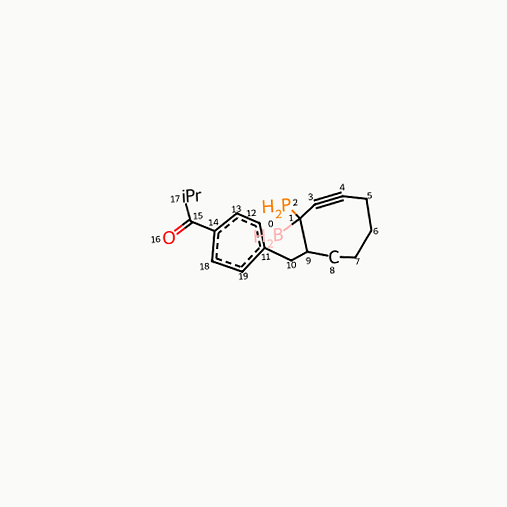 BC1(P)C#CCCCCC1Cc1ccc(C(=O)C(C)C)cc1